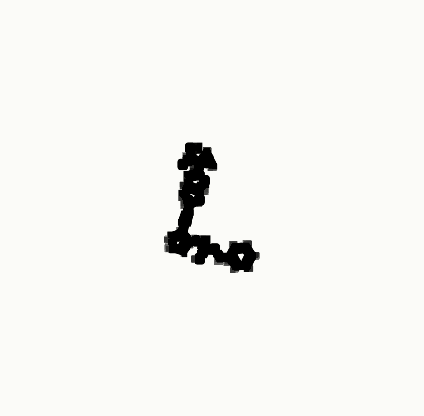 O=C(Nc1csnc1C#Cc1nc2nc(C3(C(=O)O)CC3)oc2o1)OCc1ccccc1